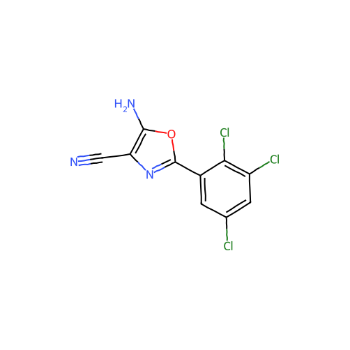 N#Cc1nc(-c2cc(Cl)cc(Cl)c2Cl)oc1N